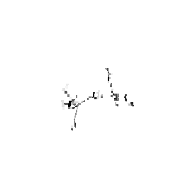 C[SiH](C)Cl.F[SiH3]